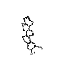 Nc1cc2c(ccc3c2ccc2c4ccccc4ccc23)cc1O